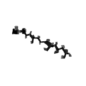 CC(=O)SC/C=C(\C)CC/C=C(\C)CCC=C(C)C